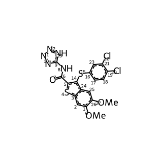 COc1cc2sc(C(=O)Nc3nnn[nH]3)c(Sc3ccc(Cl)c(Cl)c3)c2cc1OC